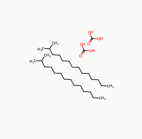 CCCCCCCCCCCCC(C)C.CCCCCCCCCCCCC(C)C.O=C(O)O.O=C(O)O